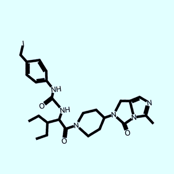 CCC(CC)C(NC(=O)Nc1ccc(CI)cc1)C(=O)N1CCC(N2Cc3cnc(C)n3C2=O)CC1